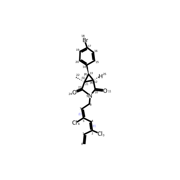 C=C/C(Cl)=C\C(Cl)=C/CN1C(=O)[C@@H]2[C@H](c3ccc(Br)cc3)[C@]2(C)C1=O